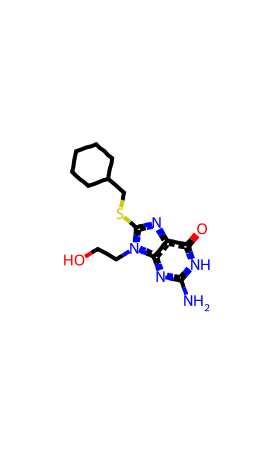 Nc1nc2c(nc(SCC3CCCCC3)n2CCO)c(=O)[nH]1